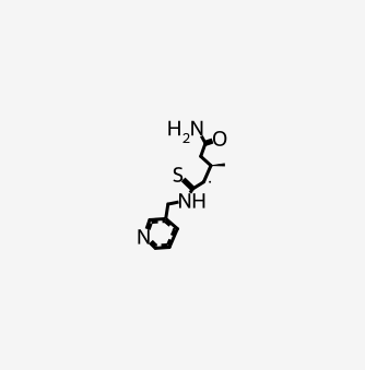 C[C@@H]([CH]C(=S)NCc1cccnc1)CC(N)=O